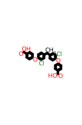 CC(c1ccc(Oc2ccc(C(=O)O)cc2)c(Cl)c1)c1ccc(Oc2ccc(C(=O)O)cc2)c(Cl)c1